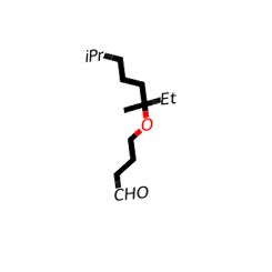 CCC(C)(CCCC(C)C)OCCCC=O